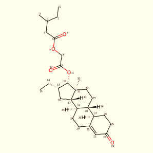 CCC(C)CC(=O)OCC(=O)O[C@H]1[C@@H](CC)C[C@H]2[C@@H]3CCC4=CC(=O)CC[C@@H]4[C@H]3CC[C@@]21C